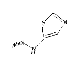 CNNc1cncs1